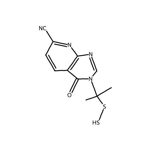 CC(C)(SS)n1cnc2nc(C#N)ccc2c1=O